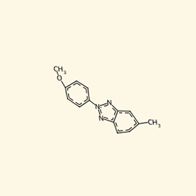 COc1ccc(-n2nc3ccc(C)cc3n2)cc1